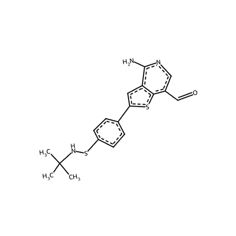 CC(C)(C)NSc1ccc(-c2cc3c(N)ncc(C=O)c3s2)cc1